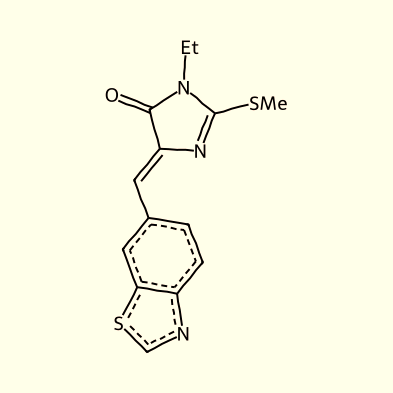 CCN1C(=O)/C(=C/c2ccc3ncsc3c2)N=C1SC